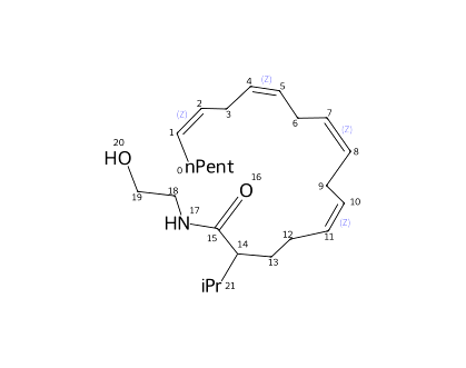 CCCCC/C=C\C/C=C\C/C=C\C/C=C\CCC(C(=O)NCCO)C(C)C